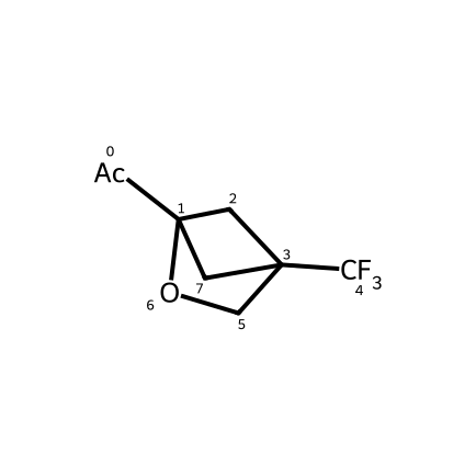 CC(=O)C12CC(C(F)(F)F)(CO1)C2